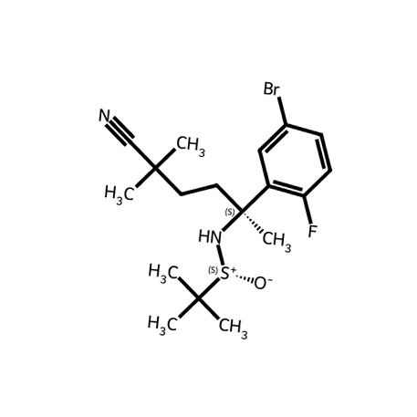 CC(C)(C#N)CC[C@](C)(N[S@+]([O-])C(C)(C)C)c1cc(Br)ccc1F